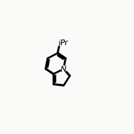 CC(C)C1=CN2CCC=C2C=C1